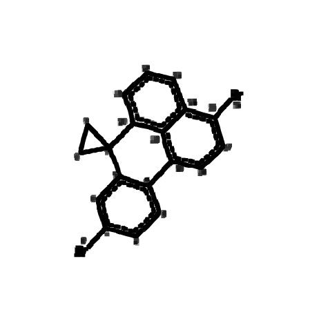 Brc1ccc2c(c1)C1(CC1)c1cccc3c(Br)ccc-2c13